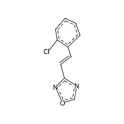 Clc1ccccc1/C=C/c1ncon1